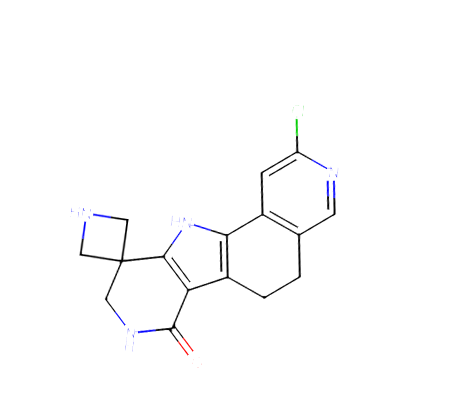 O=C1NCC2(CNC2)c2[nH]c3c(c21)CCc1cnc(Cl)cc1-3